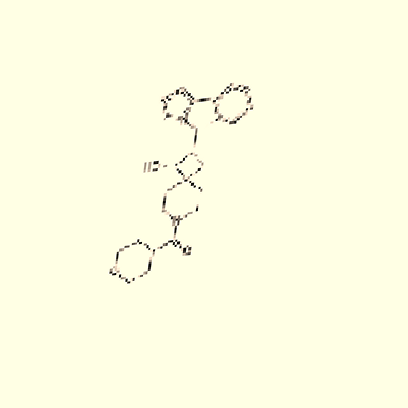 O=C(C1CCOCC1)N1CCC2(CC1)C[C@@H]([C@H]1c3ccccc3-c3cncn31)[C@H]2O